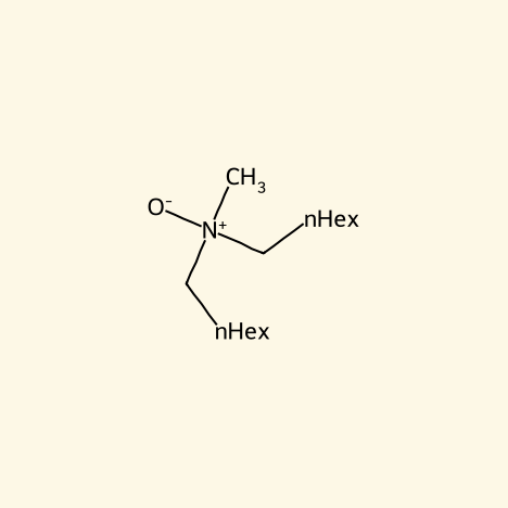 CCCCCCC[N+](C)([O-])CCCCCCC